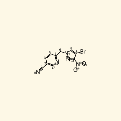 N#Cc1ccc(Cn2cc(Br)c([N+](=O)[O-])n2)nc1